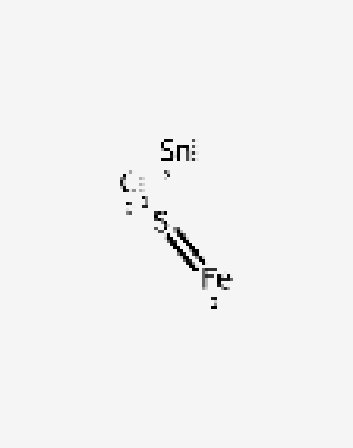 [C].[S]=[Fe].[Sn]